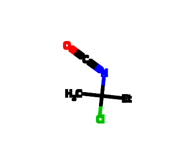 CCC(C)(Cl)N=C=O